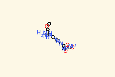 Cn1c(=O)n(C2CCC(=O)NC2=O)c2ccc(N3CC(N4CCN(C5CCC(n6nc(-c7ccc(Oc8ccccc8)cc7)c7c(N)ncnc76)CC5)CC4)C3)cc21